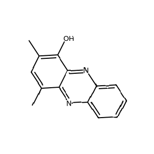 Cc1cc(C)c2nc3ccccc3nc2c1O